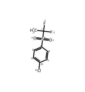 CC(F)(F)S(=O)(=O)c1ccc(Cl)cc1